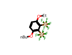 CCCCOc1ccc(OCC)c(S(F)(F)(F)(F)F)c1S(F)(F)(F)(F)F